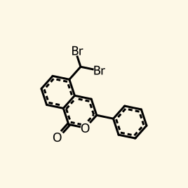 O=c1oc(-c2ccccc2)cc2c(C(Br)Br)cccc12